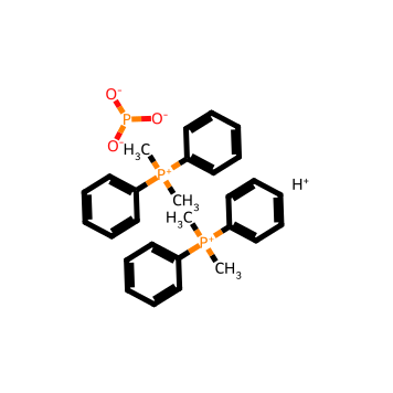 C[P+](C)(c1ccccc1)c1ccccc1.C[P+](C)(c1ccccc1)c1ccccc1.[H+].[O-]P([O-])[O-]